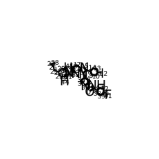 O=C(Nc1cc(-n2c(-c3ccc(I)cc3)nc3ccc(N4C[C@H]5CC(CC6CC6)C[C@@H]4C5)nc32)ccn1)c1ccc(F)cc1